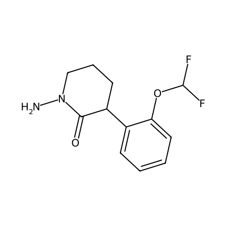 NN1CCCC(c2ccccc2OC(F)F)C1=O